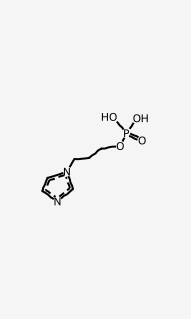 O=P(O)(O)OCCCn1ccnc1